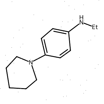 CCNc1ccc(N2CCCCC2)cc1